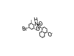 COc1ccc(S(=O)(=O)Nc2c(C)cc(Br)cc2C)c2ccccc12